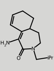 CC(C)CN1CCC2CCC=CC2=C(N)C1=O